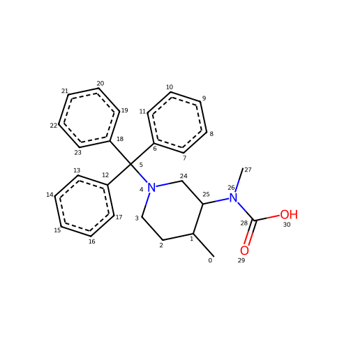 CC1CCN(C(c2ccccc2)(c2ccccc2)c2ccccc2)CC1N(C)C(=O)O